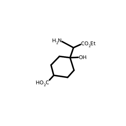 CCOC(=O)C(N)C1(O)CCC(C(=O)O)CC1